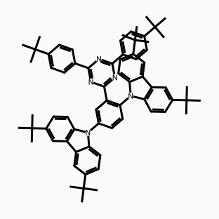 CC(C)(C)c1ccc(-c2nc(-c3ccc(C(C)(C)C)cc3)nc(-c3cc(-n4c5ccc(C(C)(C)C)cc5c5cc(C(C)(C)C)ccc54)ccc3-n3c4ccc(C(C)(C)C)cc4c4cc(C(C)(C)C)ccc43)n2)cc1